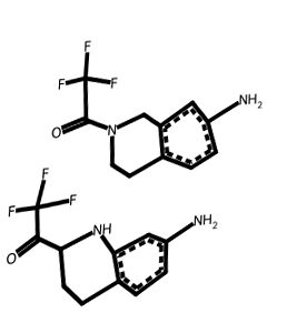 Nc1ccc2c(c1)CN(C(=O)C(F)(F)F)CC2.Nc1ccc2c(c1)NC(C(=O)C(F)(F)F)CC2